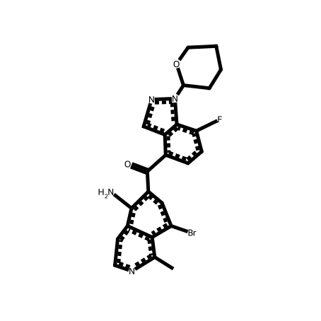 Cc1nccc2c(N)c(C(=O)c3ccc(F)c4c3cnn4C3CCCCO3)cc(Br)c12